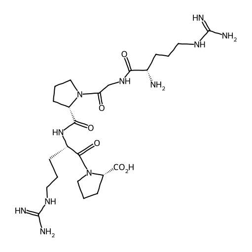 N=C(N)NCCC[C@H](NC(=O)[C@@H]1CCCN1C(=O)CNC(=O)[C@@H](N)CCCNC(=N)N)C(=O)N1CCC[C@H]1C(=O)O